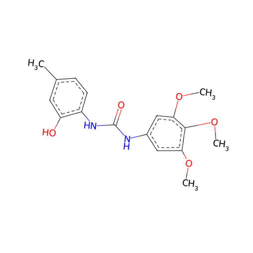 COc1cc(NC(=O)Nc2ccc(C)cc2O)cc(OC)c1OC